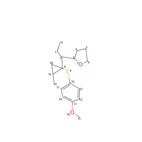 CCC(C1CCCO1)C1(Sc2ccc(OC)cc2)CC1C